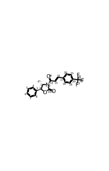 C[C@H]1[C@H](c2ccccc2)OC(=O)N1C(=O)/C=C/c1ccc(C(F)(F)F)cc1